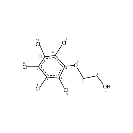 OCCOc1c(Cl)c(Cl)c(Cl)c(Cl)c1Cl